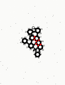 CC1(C)c2ccccc2-c2cccc(N(c3ccc(-c4cccc5oc6ccccc6c45)cc3)c3cccc(-c4ccccc4)c3-c3ccccc3-c3ccccc3)c21